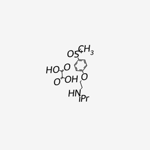 CC(C)NCCOc1ccc([S+](C)[O-])cc1.O=C(O)C(=O)O